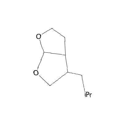 CC(C)CC1COC2OCCC12